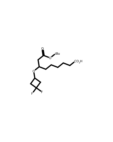 CC(C)(C)OC(=O)CC(CCCCCC(=O)O)OC1CC(F)(F)C1